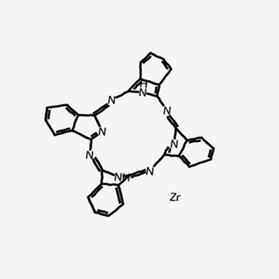 [Zr].c1ccc2c(c1)-c1nc-2nc2[nH]c(nc3nc(nc4[nH]c(n1)c1ccccc41)-c1ccccc1-3)c1ccccc21